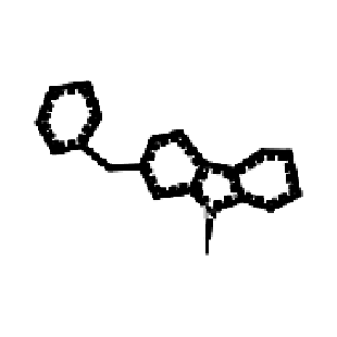 In1c2ccccc2c2ccc(Cc3ccccc3)cc21